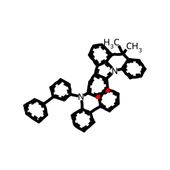 CC1(C)c2ccccc2-n2c3ccc(N(c4cccc(-c5ccccc5)c4)c4ccccc4-c4ccccc4)cc3c3cccc1c32